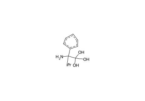 CC(C)C(N)(c1ccccc1)C(O)(O)O